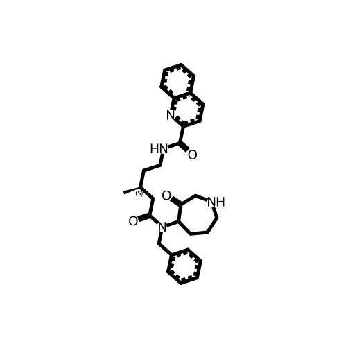 C[C@@H](CCNC(=O)c1ccc2ccccc2n1)CC(=O)N(Cc1ccccc1)C1CCCNCC1=O